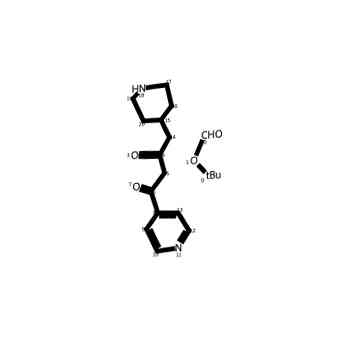 CC(C)(C)OC=O.O=C(CC(=O)c1ccncc1)CC1CCNCC1